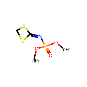 CCCOP(=O)(N=C1SCS1)OCCC